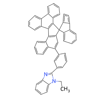 CCn1c(-c2cccc(-c3cc4c(c5ccccc35)-c3c(c5ccccc5c5ccccc35)C43c4ccccc4-c4ccccc43)c2)nc2ccccc21